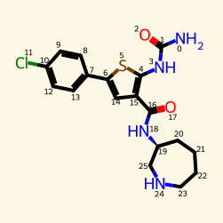 NC(=O)Nc1sc(-c2ccc(Cl)cc2)cc1C(=O)N[C@H]1CCCCNC1